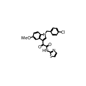 COc1ccc2c(c1)c(C(=O)C(=O)Nc1nccs1)cn2Cc1ccc(Cl)cc1